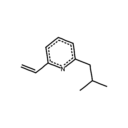 C=Cc1cccc(CC(C)C)n1